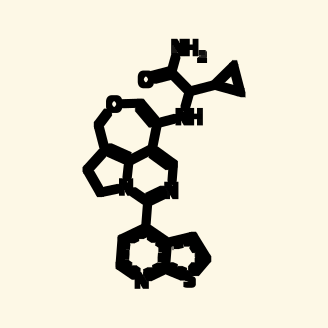 NC(=O)C(NC1=COCC2=C3C1=CN=C(c1ccnc4sccc14)N3CC2)C1CC1